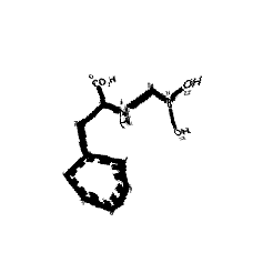 O=C(O)C(Cc1ccccc1)NCB(O)O